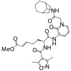 COC(=O)/C=C/CC[C@H](NC(=O)c1c(C)noc1C)C(=O)Nc1cccn(CC(=O)NC2C3CCCC2CC3)c1=O